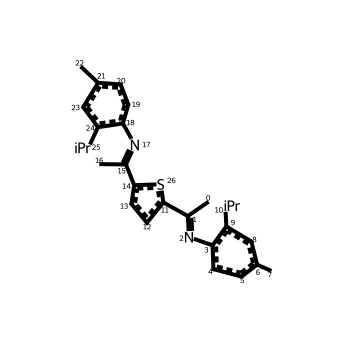 CC(=Nc1ccc(C)cc1C(C)C)c1ccc(C(C)=Nc2ccc(C)cc2C(C)C)s1